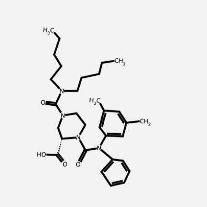 CCCCCN(CCCCC)C(=O)N1CCN(C(=O)N(c2ccccc2)c2cc(C)cc(C)c2)[C@H](C(=O)O)C1